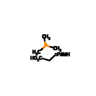 CCCCCCC(=O)O.CP(C)C.[NaH]